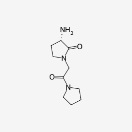 N[C@H]1CCN(CC(=O)N2CCCC2)C1=O